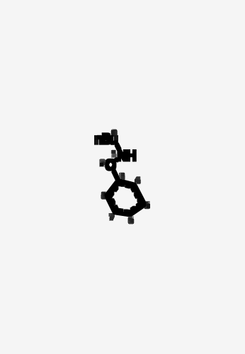 CCCCNOc1ccccc1